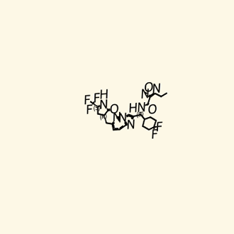 CCc1nonc1C(=O)N[C@H](c1cn2nc(C[C@H]3C[C@@H](C(F)(F)F)NC3=O)ccc2n1)C1CCC(F)(F)CC1